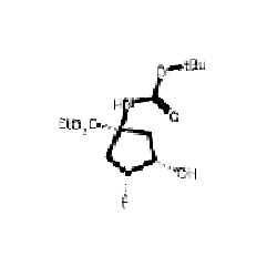 CCOC(=O)[C@@]1(NC(=O)OC(C)(C)C)C[C@@H](F)[C@@H](O)C1